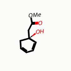 COC(=O)C[C@]1(O)C=CC=CC1